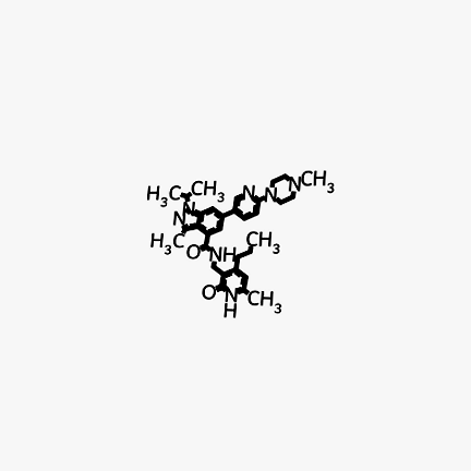 CCCc1cc(C)[nH]c(=O)c1CNC(=O)c1cc(-c2ccc(N3CCN(C)CC3)nc2)cc2c1c(C)nn2C(C)C